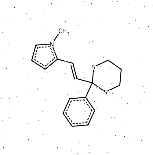 Cn1cccc1/C=C/C1(c2ccccc2)SCCCS1